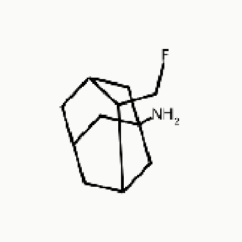 NC12CC3CC(C1)C(CF)C(C3)C2